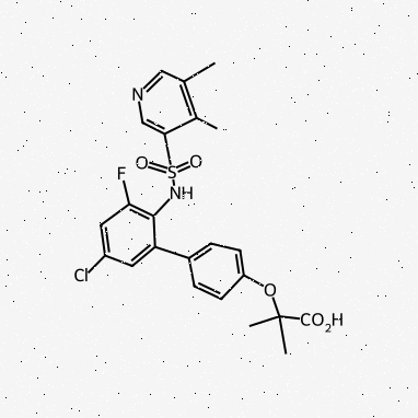 Cc1cncc(S(=O)(=O)Nc2c(F)cc(Cl)cc2-c2ccc(OC(C)(C)C(=O)O)cc2)c1C